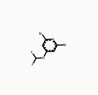 FC(F)Oc1cc(Br)nc(Br)c1